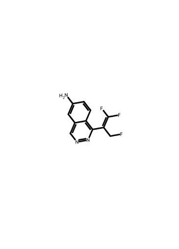 Nc1ccc2c(C(CF)=C(F)F)nncc2c1